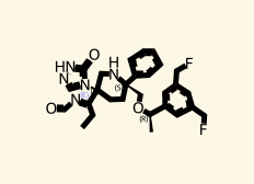 CC/C(=N\C=O)[C@]1(n2cn[nH]c2=O)CC[C@@](CO[C@H](C)c2cc(CF)cc(CF)c2)(c2ccccc2)NC1